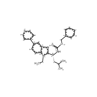 CCn1c([C@@H](CC(C)C)NC(=O)OCc2ccccc2)nc2cc(-c3ccncc3)ccc21